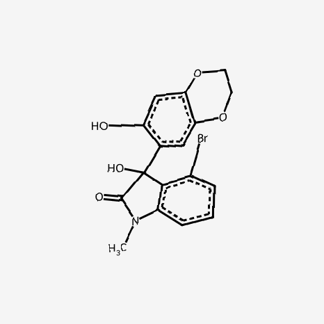 CN1C(=O)C(O)(c2cc3c(cc2O)OCCO3)c2c(Br)cccc21